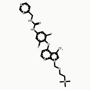 C[Si](C)(C)CCOCn1cc(C(F)(F)F)c2c(Oc3c(F)cc(NC(=O)NCc4ccncn4)cc3F)ccnc21